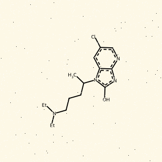 CCN(CC)CCCC(C)n1c(O)nc2ncc(Cl)cc21